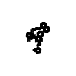 CCCCc1cccc2cccc(N3CCc4c(nc(OC[C@@H]5CCCN5C)nc4N4C[C@H]5CC[C@@H](C4)N5)C3)c12